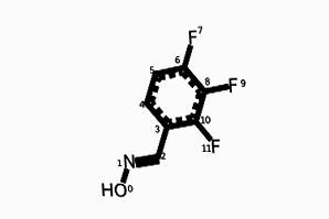 ON=Cc1ccc(F)c(F)c1F